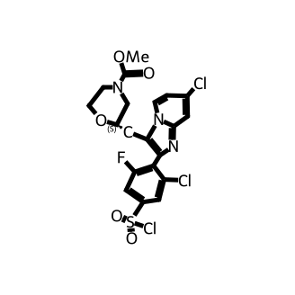 COC(=O)N1CCO[C@@H](Cc2c(-c3c(F)cc(S(=O)(=O)Cl)cc3Cl)nc3cc(Cl)ccn23)C1